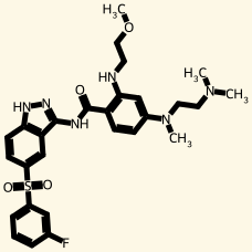 COCCNc1cc(N(C)CCN(C)C)ccc1C(=O)Nc1n[nH]c2ccc(S(=O)(=O)c3cccc(F)c3)cc12